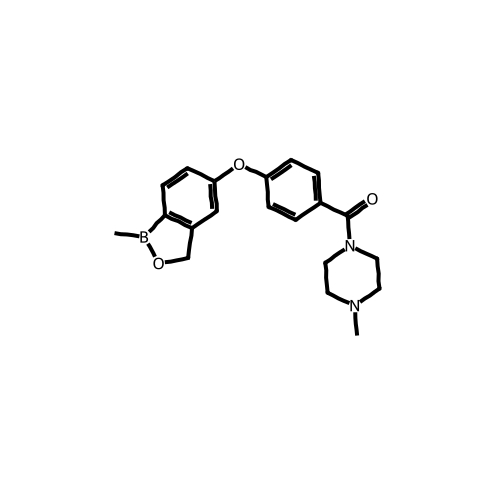 CB1OCc2cc(Oc3ccc(C(=O)N4CCN(C)CC4)cc3)ccc21